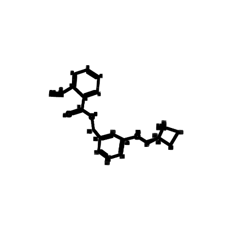 CNc1ccccc1C(=O)OCc1cncc(OC[C@@H]2CCN2)c1